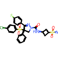 NS(=O)(=O)C1CC(NC(=O)N2CC(c3ccccc3)(S(=O)(=O)c3ccc(Cl)cc3)C(c3ccc(F)cc3)=N2)C1